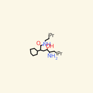 CC(C)CCNC(=O)C(CC(O)C(N)CC(C)C)C1CCCCC1